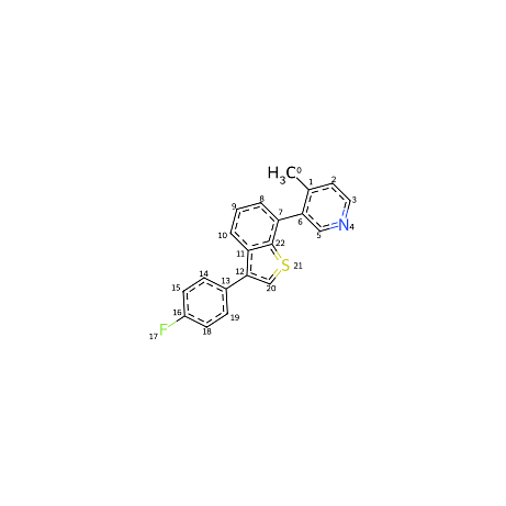 Cc1ccncc1-c1cccc2c(-c3ccc(F)cc3)csc12